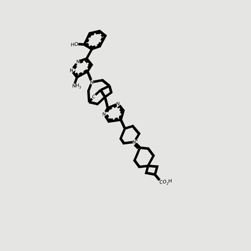 Nc1nnc(-c2ccccc2O)cc1N1CC2CC3C(C1)CC3(c1ncc(C3CC[N+](=C4CCC5(CC4)CC(C(=O)O)C5)CC3)cn1)C2